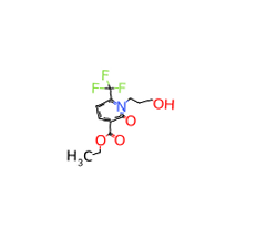 CCOC(=O)c1ccc(C(F)(F)F)n(CCCO)c1=O